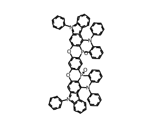 O=P12c3cc4c(cc3Oc3cc5c(c(c31)N(c1ccccc1)c1ccccc12)c1ccccc1n5-c1ccccc1)Oc1cc2c(c3c1P4(=O)c1ccccc1N3c1ccccc1)c1ccccc1n2-c1ccccc1